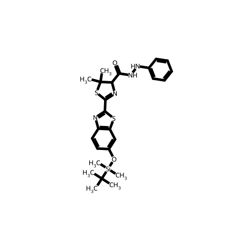 CC1(C)SC(c2nc3ccc(O[Si](C)(C)C(C)(C)C)cc3s2)=NC1C(=O)NNc1ccccc1